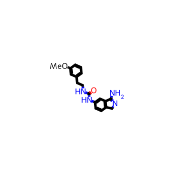 COc1cccc(CCNC(=O)Nc2ccc3c(c2)C(N)=NC3)c1